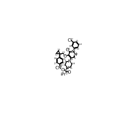 CC(C)S(=O)(=O)N1CCN(c2cnn(-c3cccc(Cl)c3)c(=O)c2OCC2(c3ccc(C#N)cc3)CC2)CC1